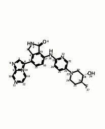 O=C1NCc2c(-c3cnc4cnccn34)ccc(Nc3ccc(N4CC[C@H](F)[C@@H](O)C4)cn3)c21